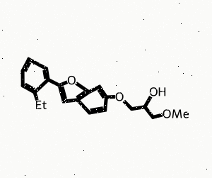 CCc1ccccc1-c1cc2ccc(OCC(O)COC)cc2o1